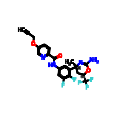 C#CCOc1ccc(C(=O)Nc2cc(F)c(F)c([C@@]3(C)C[C@@H](C(F)(F)F)OC(N)=N3)c2)nc1